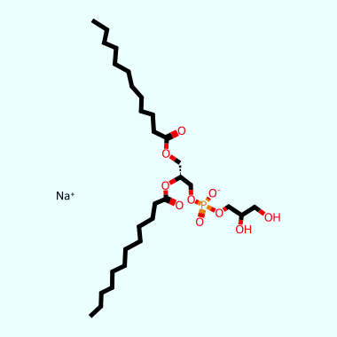 CCCCCCCCCCCC(=O)OC[C@H](COP(=O)([O-])OCC(O)CO)OC(=O)CCCCCCCCCCC.[Na+]